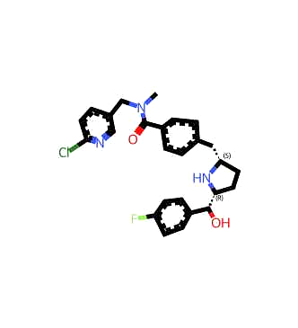 CN(Cc1ccc(Cl)nc1)C(=O)c1ccc(C[C@@H]2CC[C@H](C(O)c3ccc(F)cc3)N2)cc1